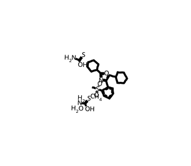 C.CS(=O)(=O)c1ccccc1-c1nc(C2CCCCC2)oc1C1CCCCC1.NC(O)=S.NC(O)=S.O